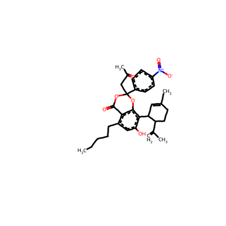 C=C(C)C1CCC(C)=CC1c1c(O)cc(CCCCC)c2c1OC(CC(C)=O)(c1ccc([N+](=O)[O-])cc1)OC2=O